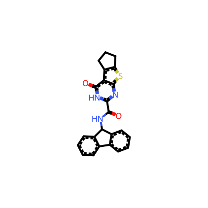 O=C(NC1c2ccccc2-c2ccccc21)c1nc2sc3c(c2c(=O)[nH]1)CCC3